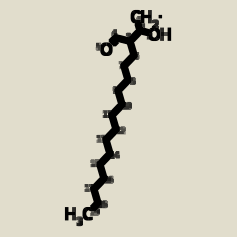 [CH2]C(O)C(C=O)CCCCCCCCCCCCCC